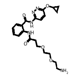 NCCOCCOCCC(=O)Nc1ccccc1C(=O)Nc1ccc(OC2CC2)nn1